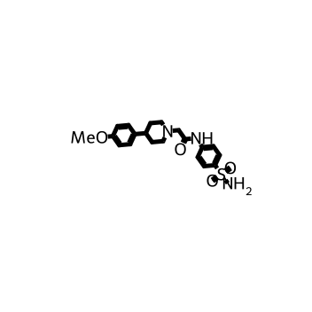 COc1ccc(C2CCN(CC(=O)Nc3ccc(S(N)(=O)=O)cc3)CC2)cc1